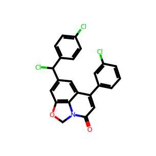 O=c1cc(-c2cccc(Cl)c2)c2cc(C(Cl)c3ccc(Cl)cc3)cc3c2n1CO3